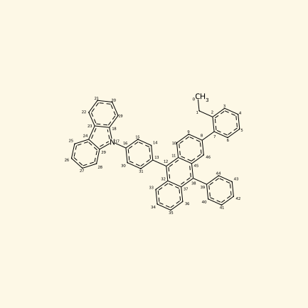 CCc1ccccc1-c1ccc2c(-c3ccc(-n4c5ccccc5c5ccccc54)cc3)c3ccccc3c(-c3ccccc3)c2c1